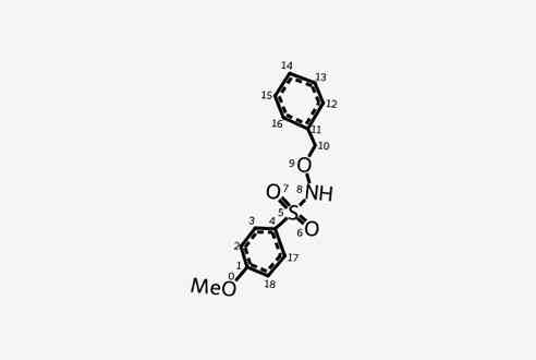 COc1ccc(S(=O)(=O)NOCc2ccccc2)cc1